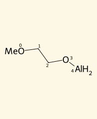 COCC[O][AlH2]